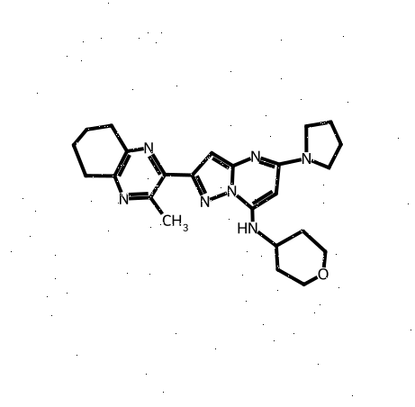 Cc1nc2c(nc1-c1cc3nc(N4CCCC4)cc(NC4CCOCC4)n3n1)CCCC2